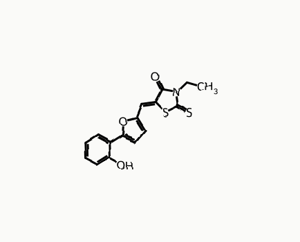 CCN1C(=O)/C(=C/c2ccc(-c3ccccc3O)o2)SC1=S